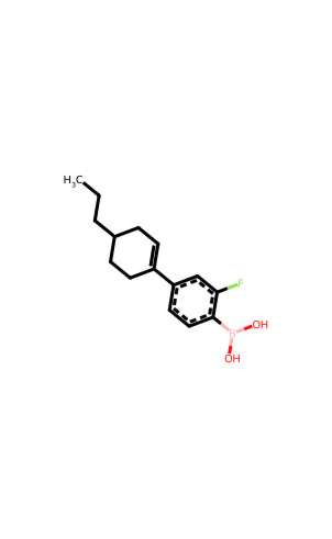 CCCC1CC=C(c2ccc(B(O)O)c(F)c2)CC1